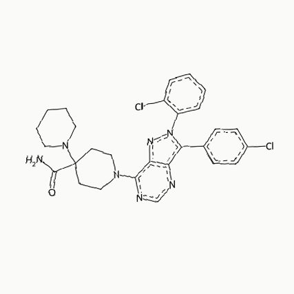 NC(=O)C1(N2CCCCC2)CCN(c2ncnc3c(-c4ccc(Cl)cc4)n(-c4ccccc4Cl)nc23)CC1